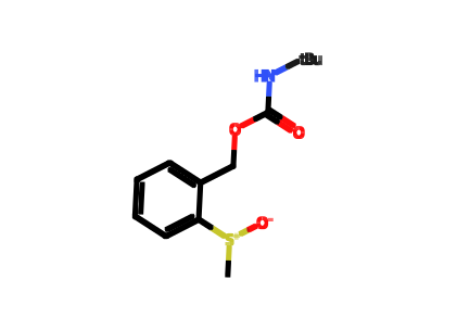 C[S+]([O-])c1ccccc1COC(=O)NC(C)(C)C